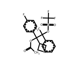 CC(=O)OC(c1ccc(F)cc1)(C1CNC1)C(C)(OS(=O)(=O)C(F)(F)F)c1ccccc1